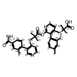 Cc1ccc(-c2c(SC(C)(C)C(=O)O)ccnc2OC(=O)C(C)(C)Sc2ccncc2-c2ccc(C(N)=O)cc2F)c(F)c1